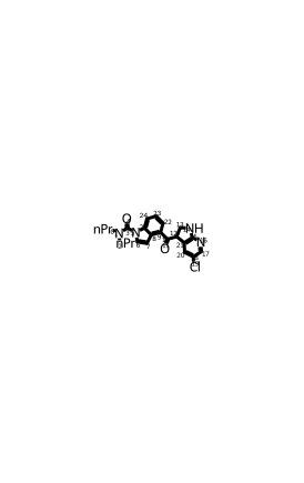 CCCN(CCC)C(=O)n1ccc2c(C(=O)C3CNc4ncc(Cl)cc43)cccc21